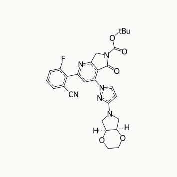 CC(C)(C)OC(=O)N1Cc2nc(-c3c(F)cccc3C#N)cc(-n3ccc(N4C[C@@H]5OCCO[C@@H]5C4)n3)c2C1=O